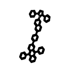 c1ccc(-c2c3ccccc3c(-c3ccccc3)c3cc(-c4ccc(-c5ccc6cc(-n7c(-c8ccccc8)ccc7-c7ccccc7)ccc6c5)cc4)ccc23)cc1